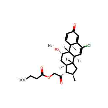 C[C@@H]1C[C@H]2[C@@H]3C=C(Cl)C4=CC(=O)C=C[C@]4(C)[C@H]3[C@@H](O)C[C@]2(C)[C@H]1C(=O)COC(=O)CCC(=O)[O-].[Na+]